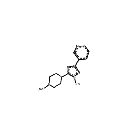 CC(=O)N1CCC(c2nc(-c3c[c]cnc3)nn2C(C)C)CC1